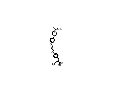 CO[C@@H](Cc1ccc(OCCCOc2ccc(N3CCN(C(C)=O)CC3)cc2)cc1)C(=O)O